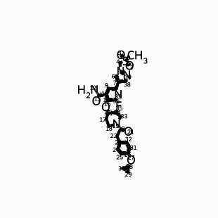 CS(=O)(=O)Cn1cc(-c2cc(C(N)=O)c(O[C@H]3CCN(C(=O)Cc4ccc(OC5CC5)cc4)CC3F)cn2)cn1